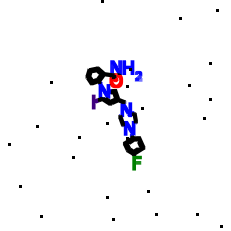 NC(=O)c1ccccc1-n1cc(CN2CCN(c3ccc(F)cc3)CC2)cc1I